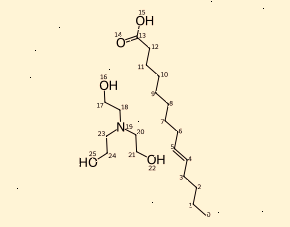 CCCCC=CCCCCCCCC(=O)O.OCCN(CCO)CCO